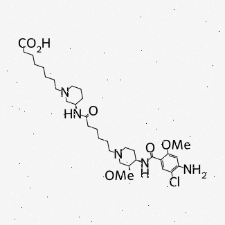 COc1cc(N)c(Cl)cc1C(=O)N[C@@H]1CCN(CCCCCC(=O)N[C@@H]2CCCN(CCCCCCCC(=O)O)C2)C[C@@H]1OC